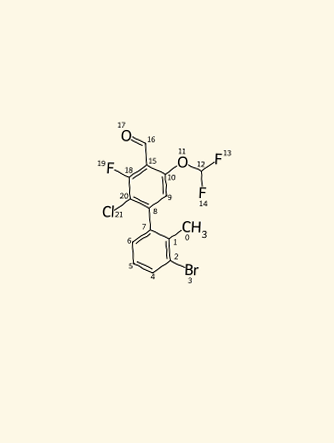 Cc1c(Br)cccc1-c1cc(OC(F)F)c(C=O)c(F)c1Cl